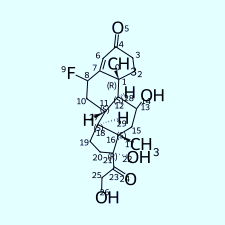 C[C@]12CCC(=O)C=C1C(F)C[C@@H]1[C@@H]2C(O)C[C@@]2(C)[C@H]1CC[C@]2(O)C(=O)CO